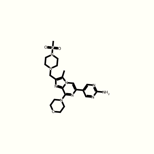 Cc1c(CN2CCN(S(C)(=O)=O)CC2)nc2c(N3CCOCC3)nc(-c3cnc(N)nc3)cn12